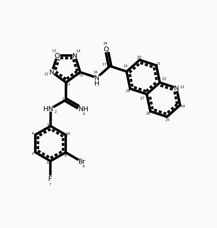 N=C(Nc1ccc(F)c(Br)c1)c1nonc1NC(=O)c1ccc2ncccc2c1